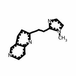 Cn1ccnc1CCc1ccc2cnccc2n1